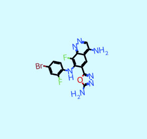 Nc1nnc(-c2cc3c(N)cnnc3c(F)c2Nc2ccc(Br)cc2F)o1